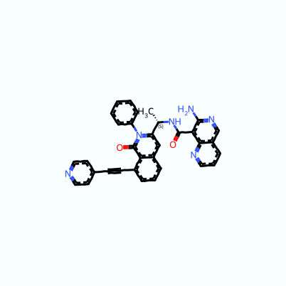 C[C@H](NC(=O)c1c(N)ncc2cccnc12)c1cc2cccc(C#Cc3ccncc3)c2c(=O)n1-c1ccccc1